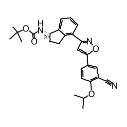 CC(C)Oc1ccc(-c2cc(-c3cccc4c3CC[C@@H]4NC(=O)OC(C)(C)C)no2)cc1C#N